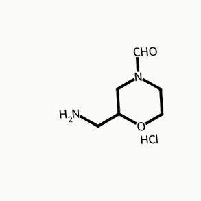 Cl.NCC1CN(C=O)CCO1